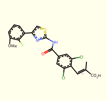 COc1cccc(-c2csc(NC(=O)c3cc(Cl)c(/C=C(\C)C(=O)O)c(Cl)c3)n2)c1F